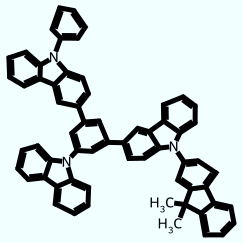 CC1(C)c2ccccc2-c2ccc(-n3c4ccccc4c4cc(-c5cc(-c6ccc7c(c6)c6ccccc6n7-c6ccccc6)cc(-n6c7ccccc7c7ccccc76)c5)ccc43)cc21